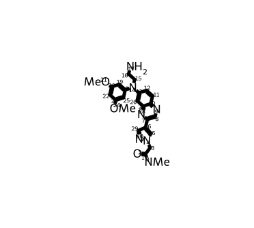 CNC(=O)Cn1cc(-c2cnc3ccc(N(CCN)c4cc(OC)cc(OC)c4)cc3n2)cn1